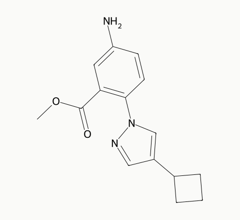 COC(=O)c1cc(N)ccc1-n1cc(C2CCC2)cn1